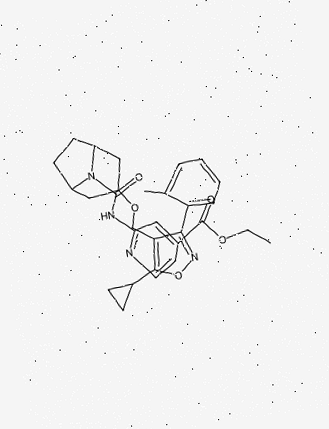 CCOC(=O)c1ccnc(NC(=O)N2C3CCC2CC(OCc2c(-c4ccccc4C)noc2C2CC2)C3)c1